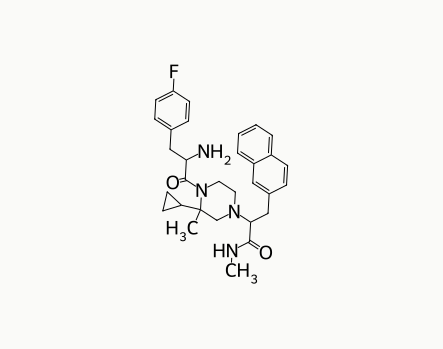 CNC(=O)C(Cc1ccc2ccccc2c1)N1CCN(C(=O)C(N)Cc2ccc(F)cc2)C(C)(C2CC2)C1